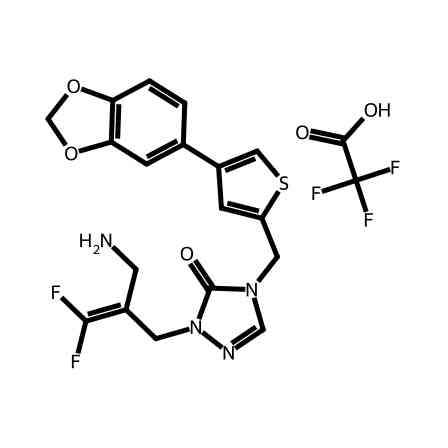 NCC(Cn1ncn(Cc2cc(-c3ccc4c(c3)OCO4)cs2)c1=O)=C(F)F.O=C(O)C(F)(F)F